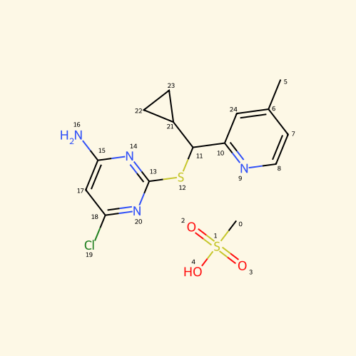 CS(=O)(=O)O.Cc1ccnc(C(Sc2nc(N)cc(Cl)n2)C2CC2)c1